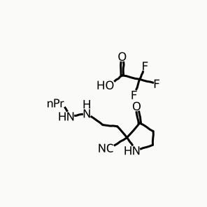 CCCNNCCC1(C#N)NCCC1=O.O=C(O)C(F)(F)F